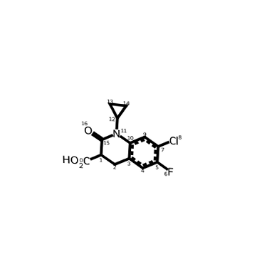 O=C(O)C1Cc2cc(F)c(Cl)cc2N(C2CC2)C1=O